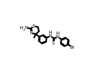 CC1(c2cccc(NC(=S)Nc3ccc(Br)cc3)c2)CCSC(N)=N1